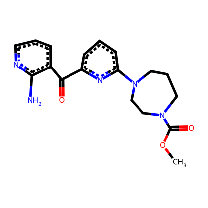 COC(=O)N1CCCN(c2cccc(C(=O)c3cccnc3N)n2)CC1